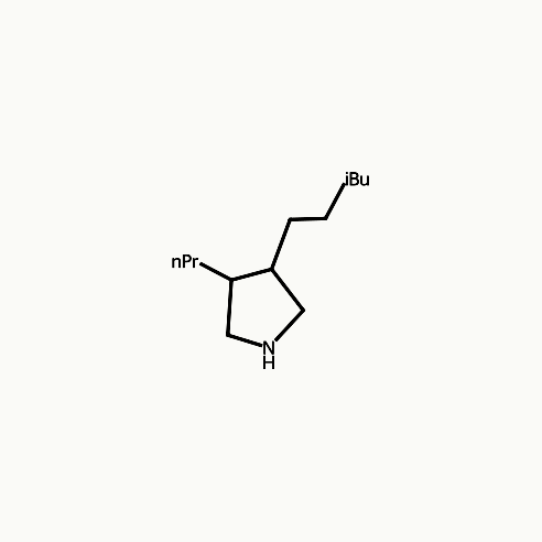 CCCC1CNCC1CCC(C)CC